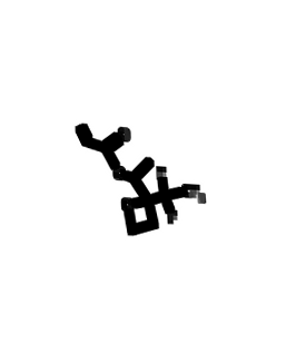 C=CC(=O)OC(C)C1(C(F)(F)C(F)(F)F)CCO1